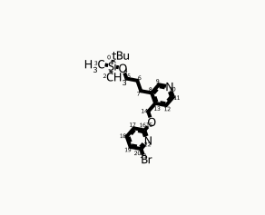 CC(C)(C)[Si](C)(C)OCCCc1cnccc1COc1cccc(Br)n1